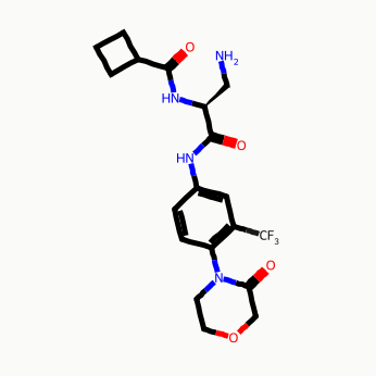 NC[C@H](NC(=O)C1CCC1)C(=O)Nc1ccc(N2CCOCC2=O)c(C(F)(F)F)c1